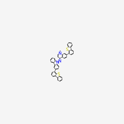 C=N/C=C\C(=N/n1c2ccccc2c2cc(-c3cccc4c3sc3ccccc34)ccc21)c1ccc(-c2cccc3c2sc2ccccc23)cc1